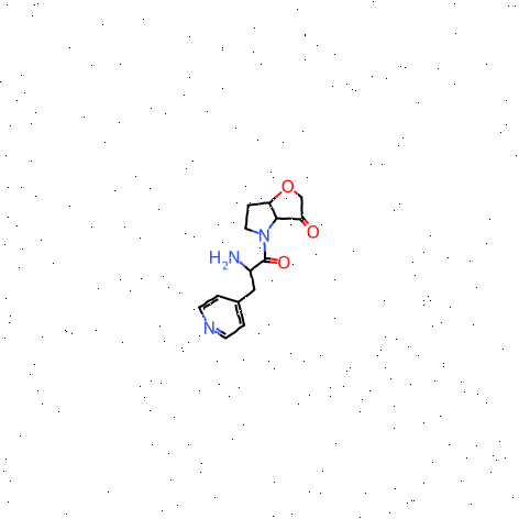 NC(Cc1ccncc1)C(=O)N1CCC2OCC(=O)C21